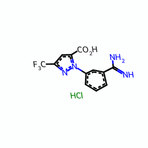 Cl.N=C(N)c1cccc(-n2nc(C(F)(F)F)cc2C(=O)O)c1